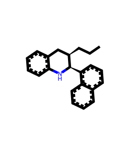 CCC[C@@H]1Cc2ccccc2N[C@@H]1c1cccc2ccccc12